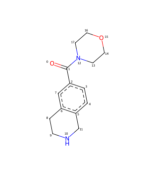 O=C(c1ccc2c(c1)CCNC2)N1CCOCC1